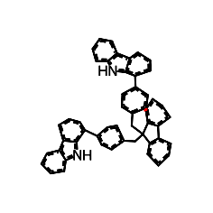 c1ccc2c(c1)-c1ccccc1C2(Cc1ccc(-c2cccc3c2[nH]c2ccccc23)cc1)Cc1ccc(-c2cccc3c2[nH]c2ccccc23)cc1